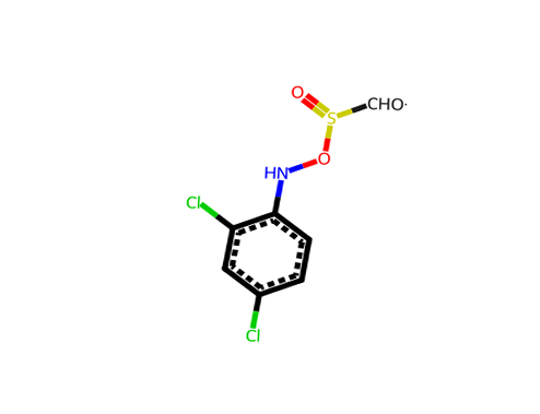 O=[C]S(=O)ONc1ccc(Cl)cc1Cl